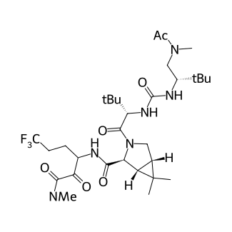 CNC(=O)C(=O)C(CCC(F)(F)F)NC(=O)[C@@H]1[C@@H]2[C@H](CN1C(=O)[C@@H](NC(=O)N[C@H](CN(C)C(C)=O)C(C)(C)C)C(C)(C)C)C2(C)C